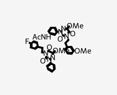 COc1cccc(CCn2c(=O)c(OC)nn(-c3cccc(NC(C)=O)c3)c2=O)c1.COc1nn(-c2ccccc2)c(=O)n(CCc2ccc(F)cc2)c1=O